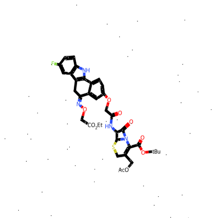 CCOC(=O)CO/N=C1/Cc2c([nH]c3ccc(F)cc23)-c2ccc(OCC(=O)NC3C(=O)N4C(C(=O)OC(C)(C)C)=C(COC(C)=O)CSC34)cc21